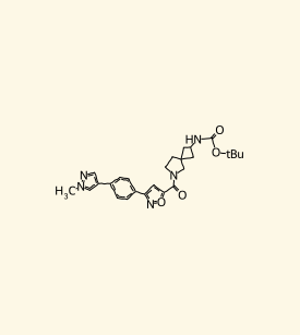 Cn1cc(-c2ccc(-c3cc(C(=O)N4CCC5(CC(NC(=O)OC(C)(C)C)C5)C4)on3)cc2)cn1